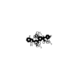 CCS(=O)(=O)Nc1cc2oc(-c3ccc(F)cc3)c(C(=O)NC)c2cc1-c1cc(-c2cc3c(F)cccc3[nH]2)nn(C)c1=O